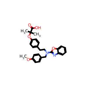 COc1ccc(CN(CCc2ccc(OC(C)(C)C(=O)O)cc2)c2nc3ccccc3o2)cc1